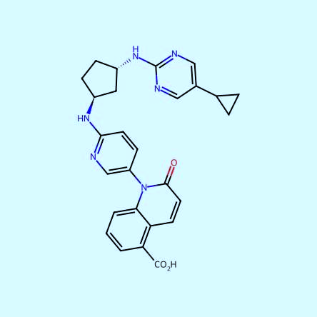 O=C(O)c1cccc2c1ccc(=O)n2-c1ccc(N[C@H]2CC[C@H](Nc3ncc(C4CC4)cn3)C2)nc1